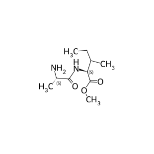 CCC(C)[C@H](NC(=O)[C@H](C)N)C(=O)OC